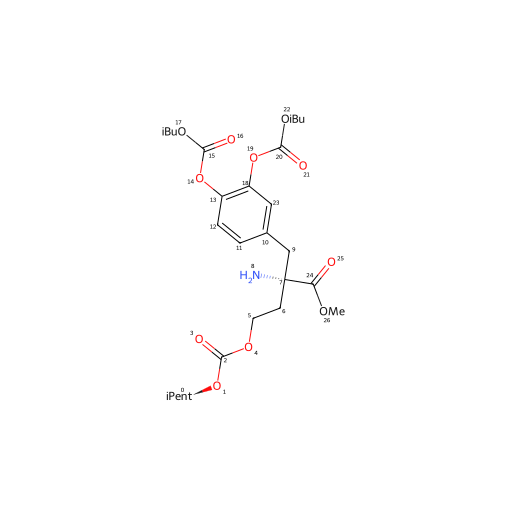 CCC[C@H](C)OC(=O)OCC[C@@](N)(Cc1ccc(OC(=O)OCC(C)C)c(OC(=O)OCC(C)C)c1)C(=O)OC